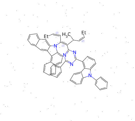 CC/C=C\C(=C(\c1nc(-c2ccccc2)nc(-c2cccc3c2c2ccccc2n3-c2ccccc2)n1)C(C)/C=C\CC)n1c2cc3ccccc3cc2c2c3ccccc3ccc21